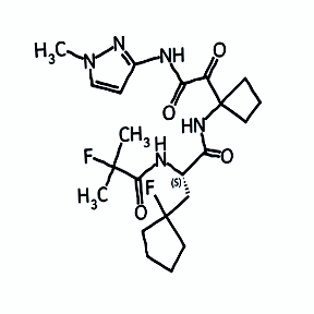 Cn1ccc(NC(=O)C(=O)C2(NC(=O)[C@H](CC3(F)CCCC3)NC(=O)C(C)(C)F)CCC2)n1